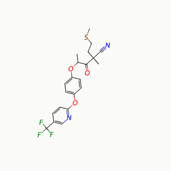 CSCCC(C)(C#N)C(=O)C(C)Oc1ccc(Oc2ccc(C(F)(F)F)cn2)cc1